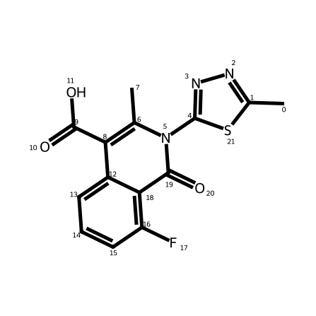 Cc1nnc(-n2c(C)c(C(=O)O)c3cccc(F)c3c2=O)s1